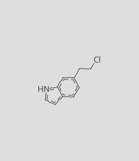 ClCCc1ccc2cc[nH]c2c1